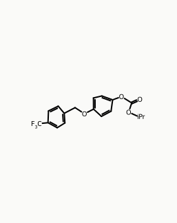 CC(C)OC(=O)Oc1ccc(OCc2ccc(C(F)(F)F)cc2)cc1